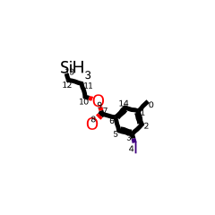 Cc1cc(I)cc(C(=O)OCCC[SiH3])c1